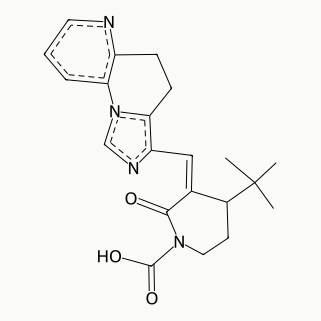 CC(C)(C)C1CCN(C(=O)O)C(=O)C1=Cc1ncn2c1CCc1ncccc1-2